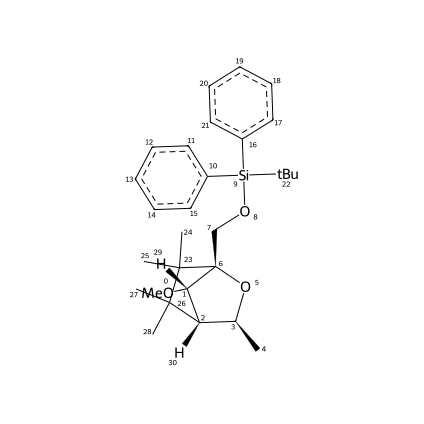 CO[C@H]1[C@@H]2[C@H](C)O[C@@]1(CO[Si](c1ccccc1)(c1ccccc1)C(C)(C)C)C(C)(C)C2(C)C